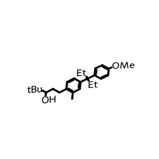 CCC(CC)(c1ccc(OC)cc1)c1ccc(CCC(O)C(C)(C)C)c(C)c1